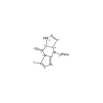 CCCCCN1c2ncc(C)n2C(=O)C2NC=CC21